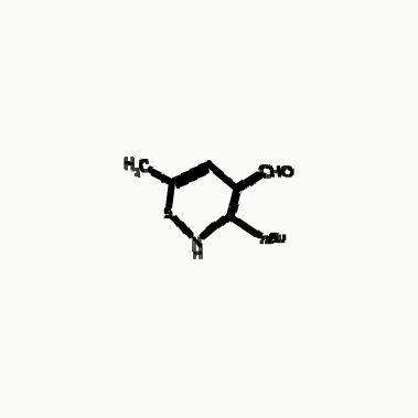 CCCCC1NSC(C)=CC1C=O